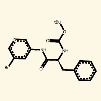 CC(C)(C)OC(=O)N[C@@H](Cc1ccccc1)C(=O)Nc1cncc(Br)c1